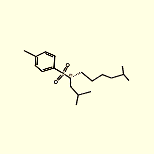 Cc1ccc(S(=O)(=O)[C@H](CCCCC(C)C)CC(C)C)cc1